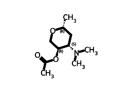 CC(=O)O[C@H]1CO[C@H](C)C[C@@H]1N(C)C